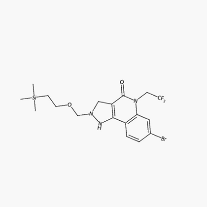 C[Si](C)(C)CCOCN1Cc2c(c3ccc(Br)cc3n(CC(F)(F)F)c2=O)N1